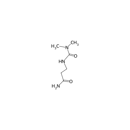 CN(C)C(=O)NCCC(N)=O